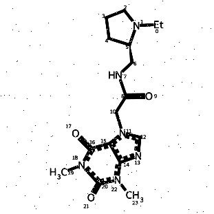 CCN1CCC[C@@H]1CNC(=O)Cn1cnc2c1c(=O)n(C)c(=O)n2C